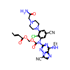 C/C=C/C(=O)OCOC(=O)N(c1nc(NCC)c2ncc(C#N)n2n1)c1cc(C#N)cc(N2CCN(CC(N)=O)CC2)c1Cl